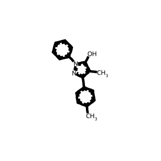 Cc1ccc(-c2nn(-c3ccccc3)c(O)c2C)cc1